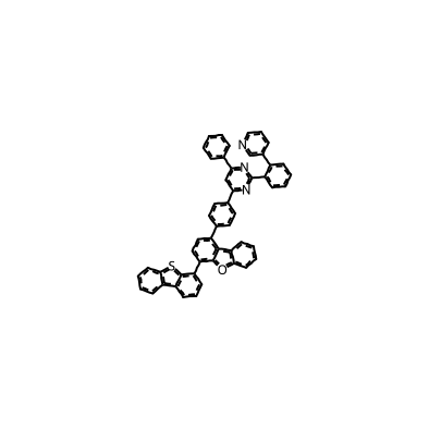 c1ccc(-c2cc(-c3ccc(-c4ccc(-c5cccc6c5sc5ccccc56)c5oc6ccccc6c45)cc3)nc(-c3ccccc3-c3cccnc3)n2)cc1